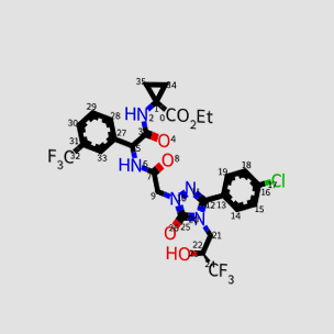 CCOC(=O)C1(NC(=O)C(NC(=O)Cn2nc(-c3ccc(Cl)cc3)n(C[C@H](O)C(F)(F)F)c2=O)c2cccc(C(F)(F)F)c2)CC1